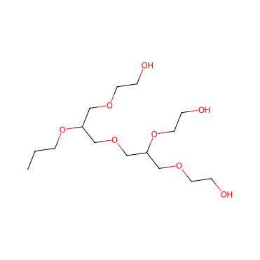 CCCOC(COCCO)COCC(COCCO)OCCO